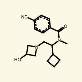 CN(C(=O)c1ccc(C#N)cc1)C(CN1CC(O)C1)C1CCC1